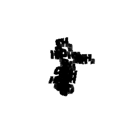 C=CCOC(=O)NCCCC[C@H](NC(=O)CCCCNC(=N)N)C(=O)NC[C@H](NC(=O)[C@@H]1CCCN1S(=O)(=O)c1ccccc1)C(O)O